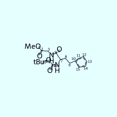 COC(=O)CNC(=O)C(CCc1ccccc1)NC(=O)OC(C)(C)C